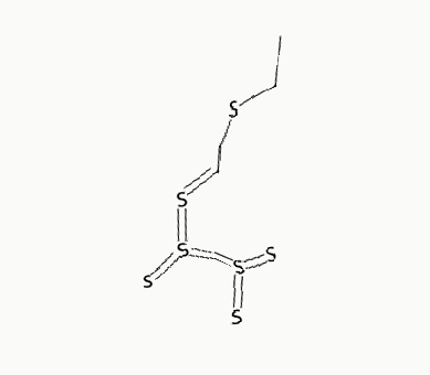 CCSC=S=S(=S)=S(=S)=S